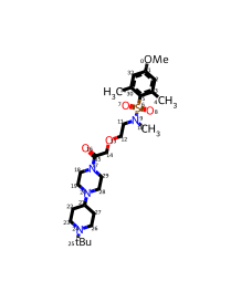 COc1cc(C)c(S(=O)(=O)N(C)CCOCC(=O)N2CCN(C3CCN(C(C)(C)C)CC3)CC2)c(C)c1